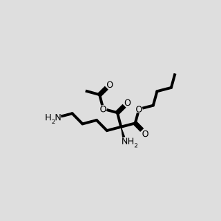 CCCCOC(=O)[C@](N)(CCCCN)C(=O)OC(C)=O